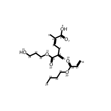 C=C(CC=C(C)C(=O)O)C(=O)OCCCO.C=CC(=O)OCCCC